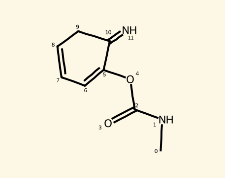 CNC(=O)OC1=CC=CCC1=N